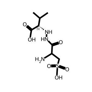 CC(C)[C@H](NNC(=O)C(N)CS(=O)(=O)O)C(=O)O